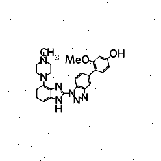 COc1cc(O)ccc1-c1ccc2c(c1)nnn2-c1nc2c(N3CCN(C)CC3)cccc2[nH]1